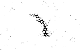 Cc1cc(-c2nc(-c3ccc4c(c3)CCC4NC3CC(C(=O)O)C3)no2)ccc1-c1cccc(Cl)c1C(F)(F)F